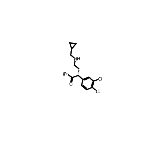 CC(C)C(=O)[C@H](CCNCC1CC1)c1ccc(Cl)c(Cl)c1